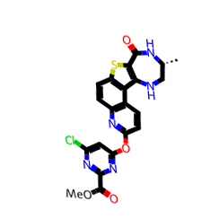 COC(=O)c1nc(Cl)cc(Oc2ccc3c(ccc4sc5c(c43)NC[C@@H](C)NC5=O)n2)n1